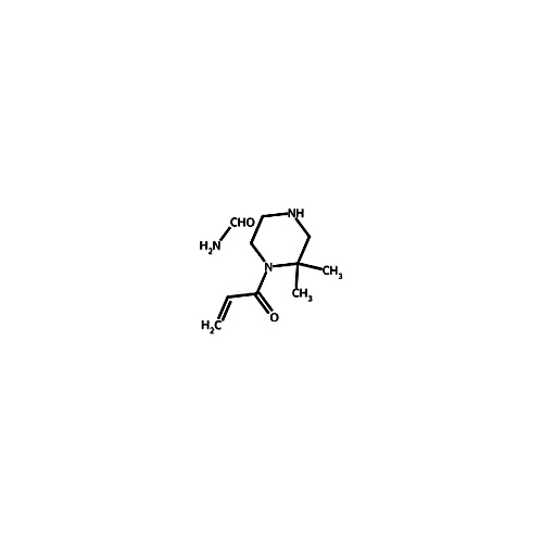 C=CC(=O)N1CCNCC1(C)C.NC=O